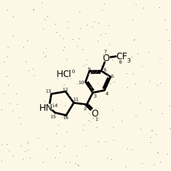 Cl.O=C(c1ccc(OC(F)(F)F)cc1)C1CCNCC1